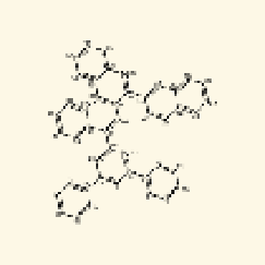 c1ccc(-c2cc(-c3ccccc3)nc(-c3cc4c(-c5ccc6ccccc6c5)nc5ccccc5c4c4ccccc34)c2)cc1